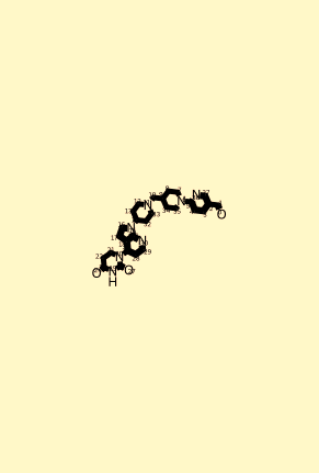 O=Cc1ccc(N2CCC(CN3CCC(n4ccc5c(N6CCC(=O)NC6=O)ccnc54)CC3)CC2)nc1